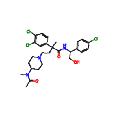 CC(=O)N(C)C1CCN(CCC(C)(C(=O)NC(CO)c2ccc(Cl)cc2)c2ccc(Cl)c(Cl)c2)CC1